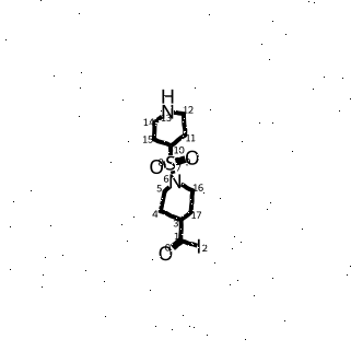 O=C(I)C1CCN(S(=O)(=O)C2CCNCC2)CC1